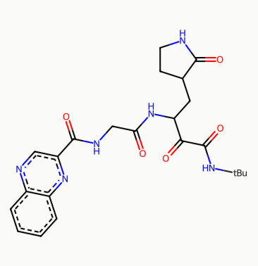 CC(C)(C)NC(=O)C(=O)C(CC1CCNC1=O)NC(=O)CNC(=O)c1cnc2ccccc2n1